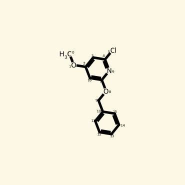 COc1cc(Cl)nc(OCc2ccccc2)c1